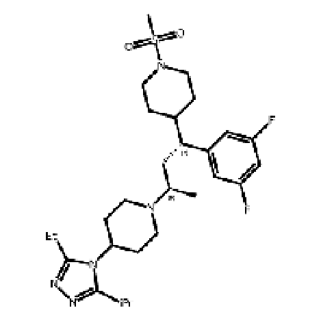 CCc1nnc(C(C)C)n1C1CCN([C@H](C)C[C@@H](c2cc(F)cc(F)c2)C2CCN(S(C)(=O)=O)CC2)CC1